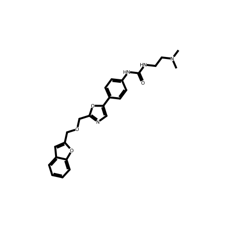 CN(C)CCNC(=O)Nc1ccc(-c2cnc(COCc3cc4ccccc4o3)o2)cc1